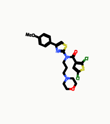 COc1ccc(-c2csc(N(CCCN3CCOCC3)C(=O)c3cc(Cl)sc3Cl)n2)cc1